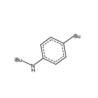 CCC(C)Nc1ccc(C(C)CC)cc1